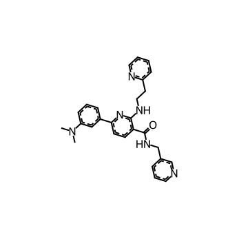 CN(C)c1cccc(-c2ccc(C(=O)NCc3cccnc3)c(NCCc3ccccn3)n2)c1